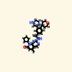 Cc1cc(=O)n(C2CCCC2)c2nc(N[C@@H](C)c3ccc(C4(N5CCNCC5)CCOCC4)cc3)ncc12